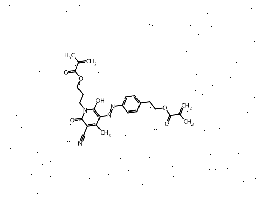 C=C(C)C(=O)OCCCn1c(O)c(N=Nc2ccc(CCOC(=O)C(=C)C)cc2)c(C)c(C#N)c1=O